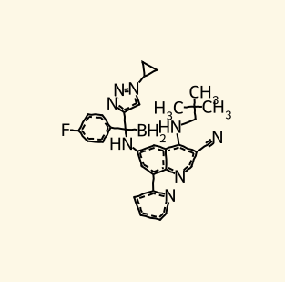 BC(Nc1cc(-c2ccccn2)c2ncc(C#N)c(NCC(C)(C)C)c2c1)(c1ccc(F)cc1)c1cn(C2CC2)nn1